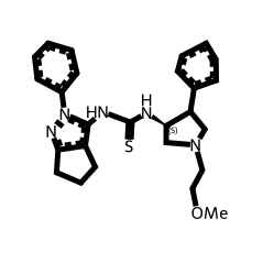 COCCN1CC(c2ccccc2)[C@H](NC(=S)Nc2c3c(nn2-c2ccccc2)CCC3)C1